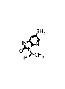 Bc1cnc2c(c1)[nH]c(=O)n2C(C)C(C)C